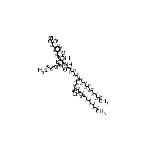 CCCCCCCCCCCCN(CC)CCCN(CCCCCCCCCCCC)CCCCCC(=O)Nc1nc(OCCCC)nc2c1[nH]c(=O)n2Cc1cccc(CC(=O)OC)c1